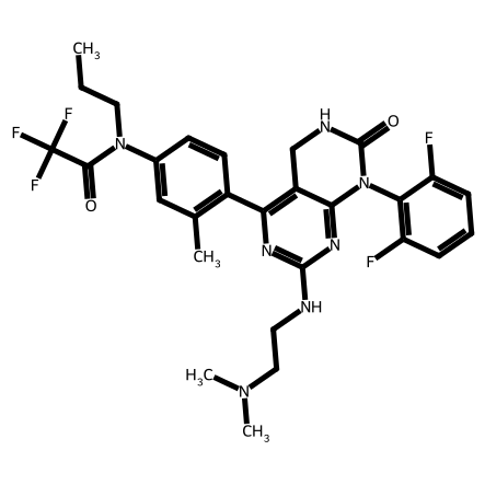 CCCN(C(=O)C(F)(F)F)c1ccc(-c2nc(NCCN(C)C)nc3c2CNC(=O)N3c2c(F)cccc2F)c(C)c1